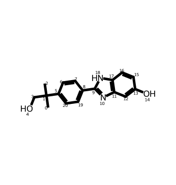 CC(C)(CO)c1ccc(-c2nc3cc(O)ccc3[nH]2)cc1